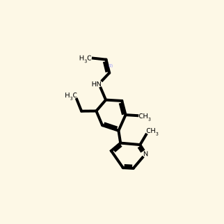 C/C=C\NC1C=C(C)C(c2cccnc2C)=CC1CC